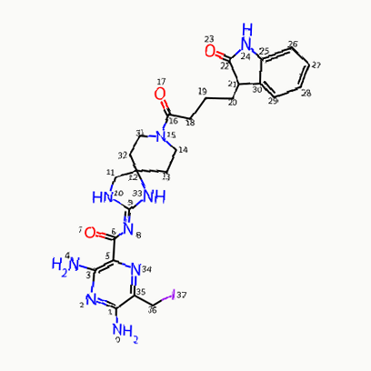 Nc1nc(N)c(C(=O)/N=C2\NCC3(CCN(C(=O)CCCC4C(=O)Nc5ccccc54)CC3)N2)nc1CI